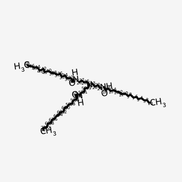 CCCCCCCCCCCCCCCCCC(=O)NCCCCN(CCCCNC(=O)CCCCCCCCCCCCCCCCC)CCCCNC(=O)CCCCCCCCCCCCCCCCC